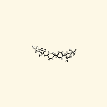 CS(=O)(=O)NC(=O)CC1CCC(c2ccc(-c3cc(C(F)(F)F)n[nH]3)cc2)CC1